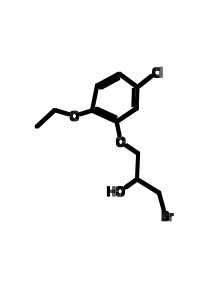 CCOc1ccc(Cl)cc1OCC(O)CBr